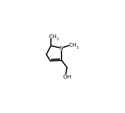 CC1CC=C(CO)N1C